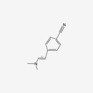 CN(C)/C=C/c1ccc(C#N)cc1